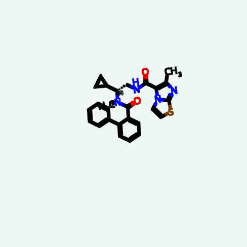 Cc1nc2sccn2c1C(=O)NC[C@@H](C1CC1)N(C)C(=O)c1ccccc1-c1ccccc1